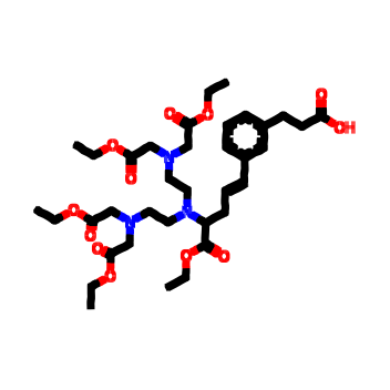 CCOC(=O)CN(CCN(CCN(CC(=O)OCC)CC(=O)OCC)C(CC=Cc1cccc(CCC(=O)O)c1)C(=O)OCC)CC(=O)OCC